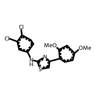 COc1ccc(-c2csc(Nc3ccc(Cl)c(Cl)c3)n2)c(OC)c1